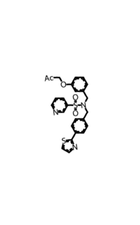 CC(=O)COc1cccc(CN(Cc2ccc(-c3nccs3)cc2)S(=O)(=O)c2cccnc2)c1